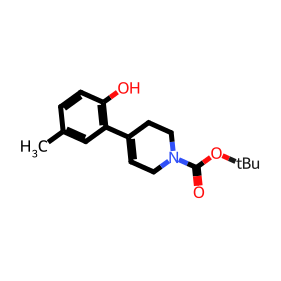 Cc1ccc(O)c(C2=CCN(C(=O)OC(C)(C)C)CC2)c1